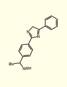 CCC(C)C(NC)c1ccc(C2=NCC(c3ccccc3)=N2)cc1